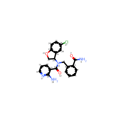 NC(=O)c1ccccc1CN(C(=O)c1cccnc1N)C1COc2ccc(Cl)cc21